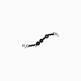 CCCCCCCOc1ccc(-c2ccc(C#CC3CCC(CCCCC)CC3)cc2)cc1